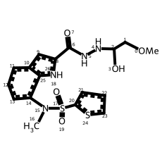 COCC(O)NNC(=O)c1cc2cccc(N(C)S(=O)(=O)c3cccs3)c2[nH]1